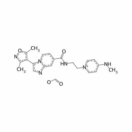 CNc1cc[n+](CCNC(=O)c2ccn3c(-c4c(C)noc4C)cnc3c2)cc1.O=C[O-]